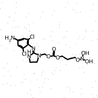 Nc1cc(Cl)c(/N=C2\NCCN2COC(=O)OCCCON(O)O)c(Cl)c1